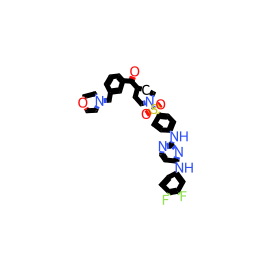 O=C(c1cccc(CN2CCOCC2)c1)C1CCN(S(=O)(=O)c2ccc(Nc3nccc(Nc4ccc(F)c(F)c4)n3)cc2)CC1